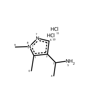 Cc1c(C(C)N)cnn1C.Cl.Cl